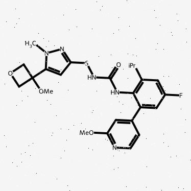 COc1cc(-c2cc(F)cc(C(C)C)c2NC(=O)NSc2cc(C3(OC)COC3)n(C)n2)ccn1